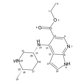 CCOC(=O)c1cnc2[nH]ccc2c1N[C@@H]1CC[C@H](C)NC1